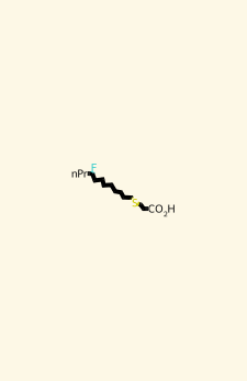 CCCC(F)CCCCCCCCSCCC(=O)O